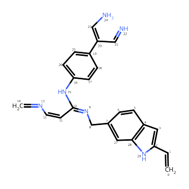 C=Cc1cc2ccc(C/N=C(\C=C/N=C)Nc3ccc(/C(C=N)=C/N)cc3)cc2[nH]1